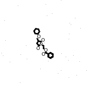 O=C(OCCN1C(=O)CC(COC2CCCCC2)C1=O)c1ccccc1